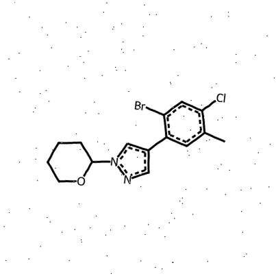 Cc1cc(-c2cnn(C3CCCCO3)c2)c(Br)cc1Cl